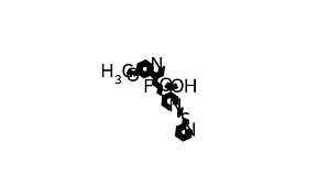 COc1ccc2nccc([C@H](F)CC[C@@H]3CCN(CCSc4ccccn4)C[C@@H]3C(=O)O)c2c1